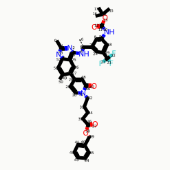 Cc1nc(N[C@H](C)c2cc(NC(=O)OC(C)(C)C)cc(C(F)(F)F)c2)c2cc(-c3ccn(CCCCC(=O)OCc4ccccc4)c(=O)c3)c(C)cc2n1